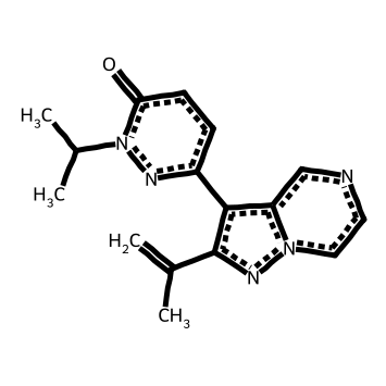 C=C(C)c1nn2ccncc2c1-c1ccc(=O)n(C(C)C)n1